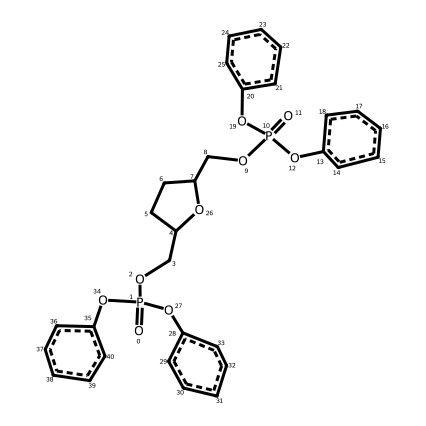 O=P(OCC1CCC(COP(=O)(Oc2ccccc2)Oc2ccccc2)O1)(Oc1ccccc1)Oc1ccccc1